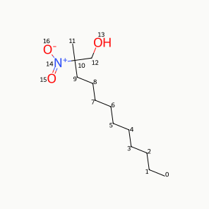 CCCCCCCCCCC(C)(CO)[N+](=O)[O-]